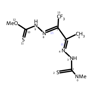 CNC(=S)N/N=C(C)/C(=N/NC(=S)OC)C(F)(F)F